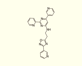 c1ccc(-c2nc(NCCc3nc(-c4cccnc4)no3)cc(-c3cccnc3)n2)nc1